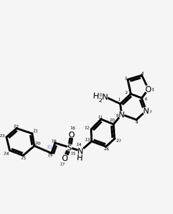 NC1=c2ccoc2=NCN1c1ccc(NS(=O)(=O)/C=C/c2ccccc2)cc1